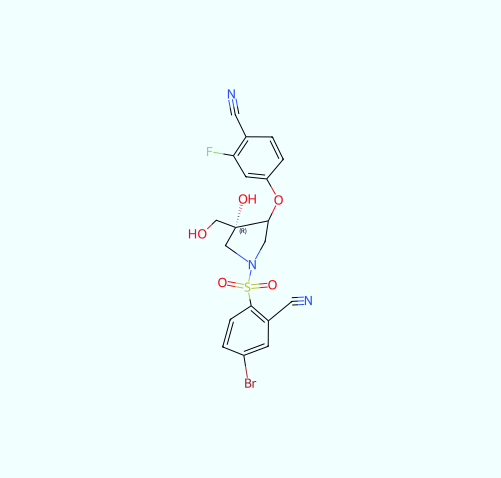 N#Cc1ccc(OC2CN(S(=O)(=O)c3ccc(Br)cc3C#N)C[C@@]2(O)CO)cc1F